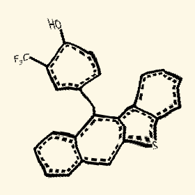 Oc1ccc(-c2c3ccccc3cc3sc4ccccc4c23)cc1C(F)(F)F